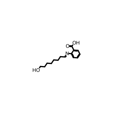 O=C(O)c1ccccc1N=CCCCCCCCO